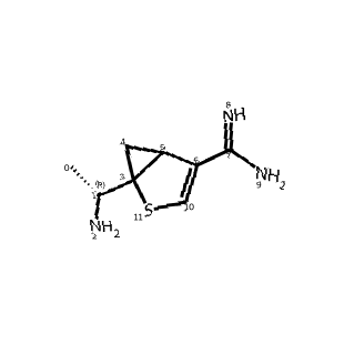 C[C@@H](N)C12CC1C(C(=N)N)=CS2